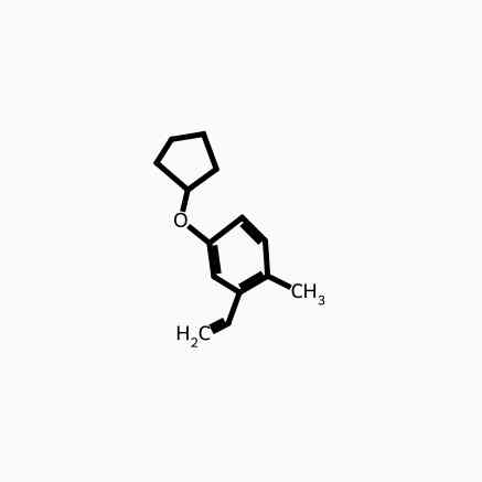 C=Cc1cc(OC2CCCC2)ccc1C